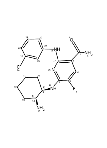 NC(=O)c1cc(F)c(N[C@@H]2CCCC[C@@H]2N)nc1Nc1cccc(Cl)c1